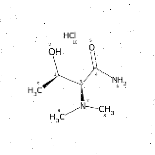 C[C@@H](O)[C@@H](C(N)=O)N(C)C.Cl